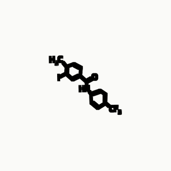 Cc1ccc(C(=O)Nc2ccc(C(F)(F)F)cc2)cc1I